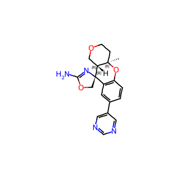 C[C@@]12CCOC[C@H]1[C@]1(COC(N)=N1)c1cc(-c3cncnc3)ccc1O2